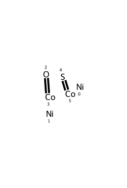 [Ni].[Ni].[O]=[Co].[S]=[Co]